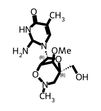 COC1C2ON(C)C[C@]1(CO)O[C@H]2N1C=C(C)C(=O)NC1N